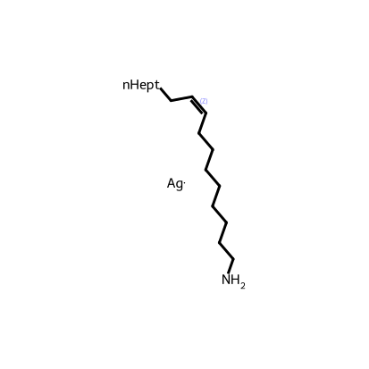 CCCCCCCC/C=C\CCCCCCCCN.[Ag]